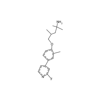 Cc1cc(-c2ccnc(F)c2)ccc1OCC(C)CC(C)(C)N